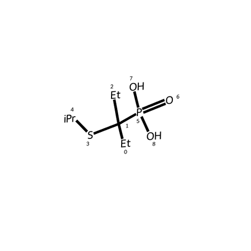 CCC(CC)(SC(C)C)P(=O)(O)O